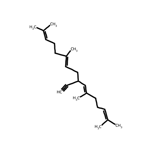 C#CC(/C=C(\C)CCC=C(C)C)C/C=C(\C)CCC=C(C)C